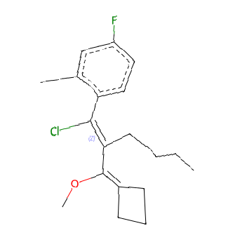 CCCC/C(C(OC)=C1CCC1)=C(/Cl)c1ccc(F)cc1C